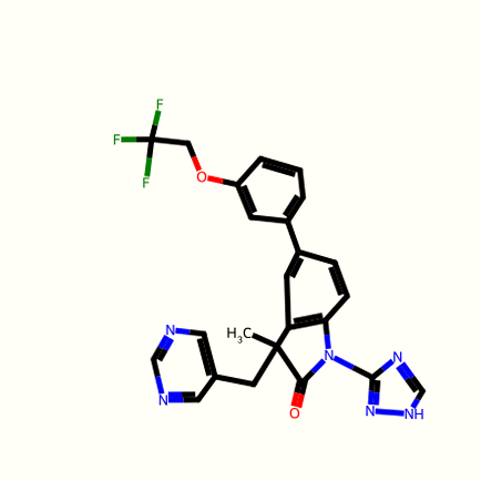 CC1(Cc2cncnc2)C(=O)N(c2nc[nH]n2)c2ccc(-c3cccc(OCC(F)(F)F)c3)cc21